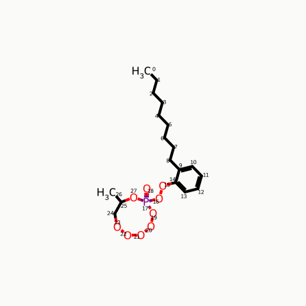 CCCCCCCCCc1ccccc1OOP1(=O)OOOOOCC(C)O1